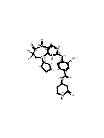 COc1cc(C(=O)NC2CCNC(=O)C2)ccc1Nc1ncc2c(n1)N(C1CCCC1)CC(F)(F)C(=O)N2C